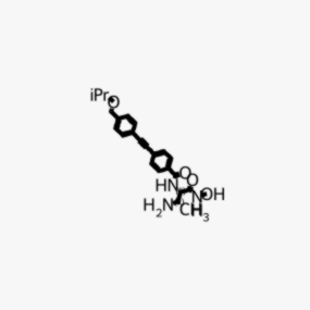 CC(C)OCc1ccc(C#Cc2ccc(C(=O)N[C@H](C(=O)NO)[C@@H](C)N)cc2)cc1